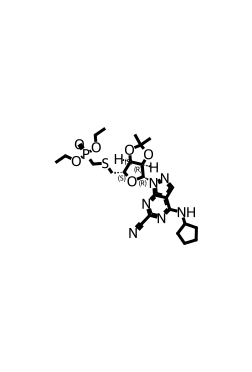 CCOP(=O)(CSC[C@H]1O[C@@H](n2ncc3c(NC4CCCC4)nc(C#N)nc32)[C@@H]2OC(C)(C)O[C@@H]21)OCC